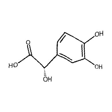 O=C(O)[C@@H](O)c1ccc(O)c(O)c1